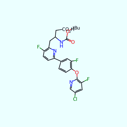 CC(C)(C)OC(=O)NC(CC(=O)O)Cc1nc(-c2ccc(Oc3ncc(Cl)cc3F)c(F)c2)ccc1F